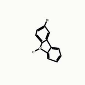 [O-][s+]1c2ccccc2c2cc(Br)ccc21